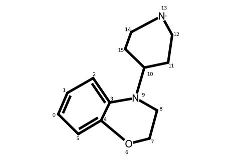 c1ccc2c(c1)OCCN2C1CC[N]CC1